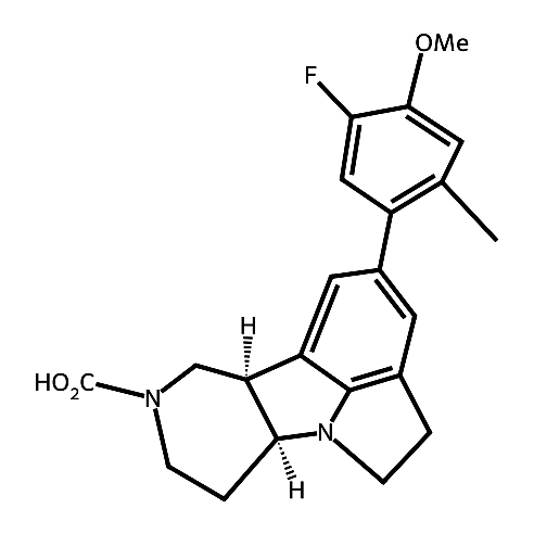 COc1cc(C)c(-c2cc3c4c(c2)[C@@H]2CN(C(=O)O)CC[C@@H]2N4CC3)cc1F